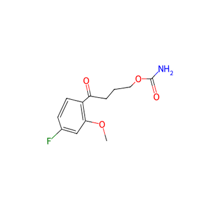 COc1cc(F)ccc1C(=O)CCCOC(N)=O